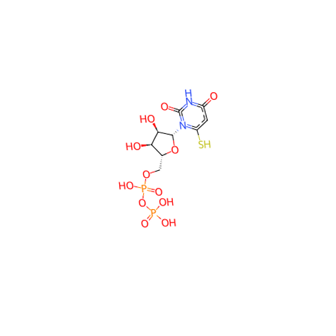 O=c1cc(S)n([C@@H]2O[C@H](COP(=O)(O)OP(=O)(O)O)[C@@H](O)[C@H]2O)c(=O)[nH]1